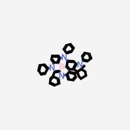 CC12CCCCC1(C)N(c1ccccc1)c1cc3c(cc12)B1c2c(cccc2N(c2ccccc2)c2c1n(-c1ccccc1)c1ccccc21)N3c1ccccc1